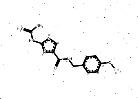 C=C(N)Nc1nc(C(=O)NCc2ccc(OC)cc2)cs1